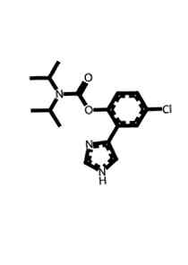 CC(C)N(C(=O)Oc1ccc(Cl)cc1-c1c[nH]cn1)C(C)C